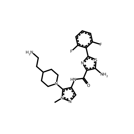 Cn1ncc(NC(=O)c2nc(-c3c(F)cccc3F)sc2N)c1N1CCC(CCN)CC1